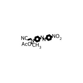 CC(=O)OC(C)N(CCC#N)c1ccc(N=Nc2ccc([N+](=O)[O-])cc2)cc1